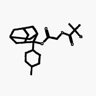 CCC(C)(C)C(=O)OCC(=O)OC1(C2CCC(C)CC2)C2CC3CC(C2)CC1C3